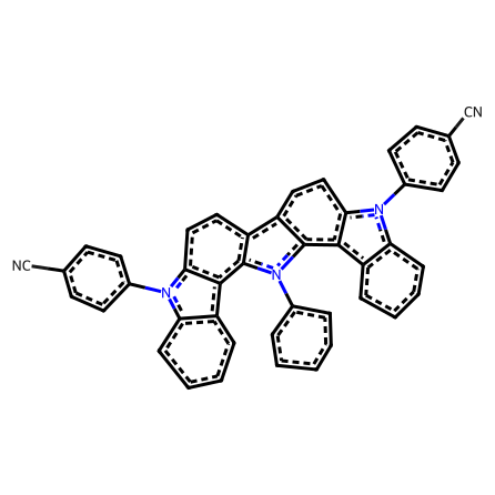 N#Cc1ccc(-n2c3ccccc3c3c2ccc2c4ccc5c(c6ccccc6n5-c5ccc(C#N)cc5)c4n(-c4ccccc4)c23)cc1